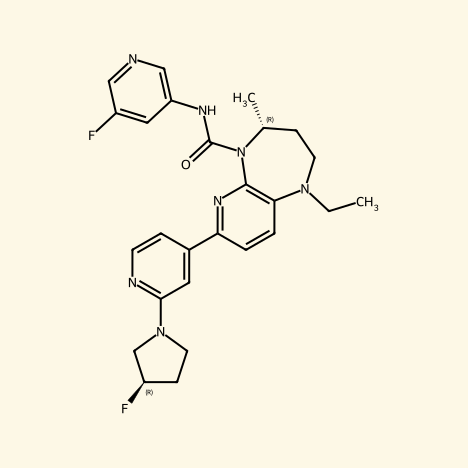 CCN1CC[C@@H](C)N(C(=O)Nc2cncc(F)c2)c2nc(-c3ccnc(N4CC[C@@H](F)C4)c3)ccc21